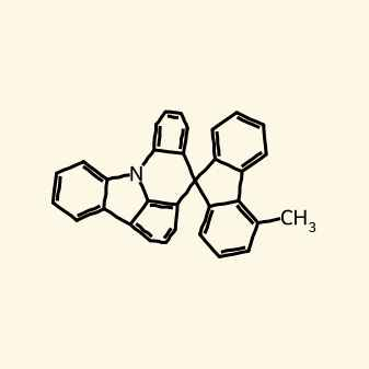 Cc1cccc2c1-c1ccccc1C21c2ccccc2-n2c3ccccc3c3cccc1c32